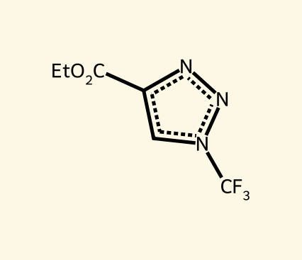 CCOC(=O)c1cn(C(F)(F)F)nn1